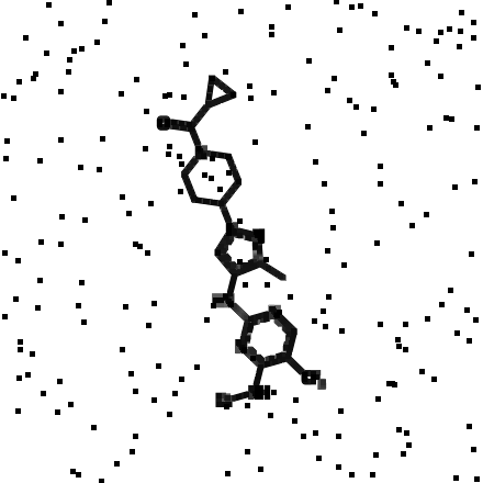 CCNc1nc(Nc2cn(C3CCN(C(=O)C4CC4)CC3)nc2C)ncc1C(F)(F)F